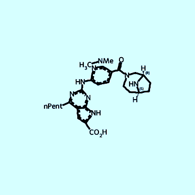 CCCCCc1nc(Nc2ccc(C(=O)N3CC[C@@H]4CC[C@H](C3)N4)cn2)nc2[nH]c(C(=O)O)cc12.CNC